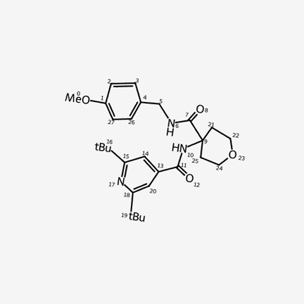 COc1ccc(CNC(=O)C2(NC(=O)c3cc(C(C)(C)C)nc(C(C)(C)C)c3)CCOCC2)cc1